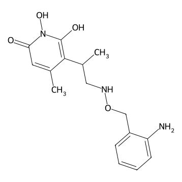 Cc1cc(=O)n(O)c(O)c1C(C)CNOCc1ccccc1N